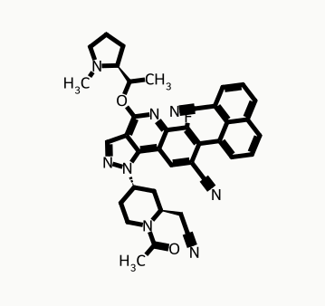 CC(=O)N1CC[C@H](n2ncc3c(OC(C)[C@@H]4CCCN4C)nc4c(F)c(-c5cccc6cccc(C#N)c56)c(C#N)cc4c32)C[C@H]1CC#N